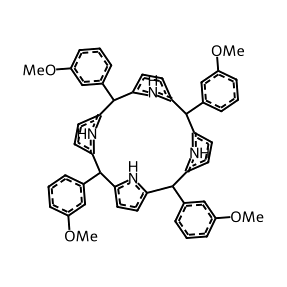 COc1cccc(C2c3ccc([nH]3)C(c3cccc(OC)c3)c3ccc([nH]3)C(c3cccc(OC)c3)c3ccc([nH]3)C(c3cccc(OC)c3)c3ccc2[nH]3)c1